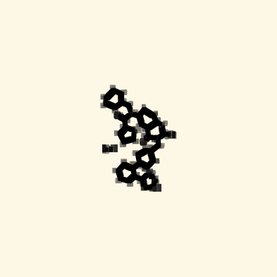 CCc1nc2ccc(N(Cc3ccccc3)C(=O)c3cccs3)cc2c(=O)n1Cc1ccc(-c2ccccc2-c2nn[nH]n2)cc1.[NaH]